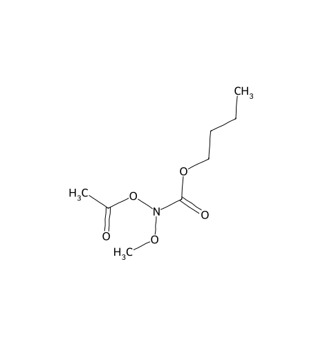 CCCCOC(=O)N(OC)OC(C)=O